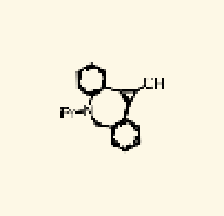 CC(C)N1Cc2ccccc2C2=C(c3ccccc31)C2O